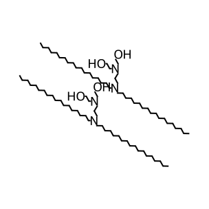 CCCCCCCCCCCCCCCCCCN(CCCCCCCCCCCCCCCCCC)CCCN(CCO)CCO.CCCCCCCCCCCCCCCCCCN(CCCCCCCCCCCCCCCCCC)CCCN(CCO)CCO